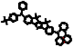 CC1(C)c2cc(N(c3ccccc3)c3ccc([Si](C)(C)C)cc3)ccc2-c2sc3c(c21)C(C)(C)c1cc(N(c2ccccc2)c2ccccc2-c2ccccc2)ccc1-3